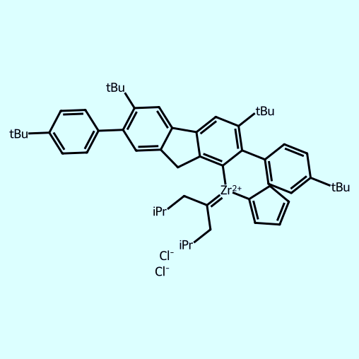 CC(C)C[C](CC(C)C)=[Zr+2]([C]1=CC=CC1)[c]1c2c(cc(C(C)(C)C)c1-c1ccc(C(C)(C)C)cc1)-c1cc(C(C)(C)C)c(-c3ccc(C(C)(C)C)cc3)cc1C2.[Cl-].[Cl-]